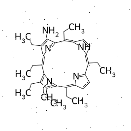 CCC1=C(N)c2nc1c(CC)c1c(CC)c(CC)c(c(CC)c3nc(c(CC)c4ccc([nH]4)c2CC)C=C3)n1CC